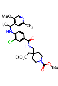 CCOC(=O)CC1(CNC(=O)c2ccc(NC(C)c3cc(C(F)(F)F)ncc3OC)c(Cl)c2)CCN(C(=O)OC(C)(C)C)CC1